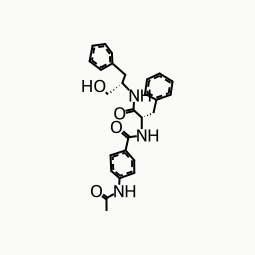 CC(=O)Nc1ccc(C(=O)N[C@@H](Cc2ccccc2)C(=O)N[C@H](CO)Cc2ccccc2)cc1